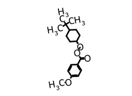 COc1ccc(C(=O)OO[C]2CCC(C(C)(C)C)CC2)cc1